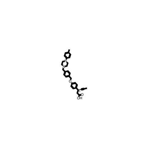 CC#C[C@@H](CC(=O)O)c1ccc(OCc2ccc(CN3CCN(c4ccc(C)cc4)CC3)cc2)cc1